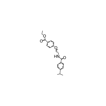 CCOC(=O)c1ccc(OCCNC(=O)c2ccc(C(C)C)cc2)cc1